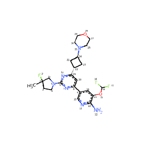 CC1(F)CCN(c2nc(-c3cnc(N)c(OC(F)F)c3)cc([C@H]3C[C@H](N4CCOCC4)C3)n2)C1